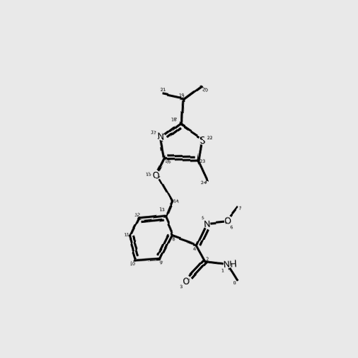 CNC(=O)C(=NOC)c1ccccc1COc1nc(C(C)C)sc1C